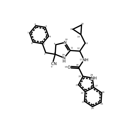 N#CC1(Cc2ccccc2)CN=C(C(CC2CC2)NC(=O)c2cc3ccccc3[nH]2)N1